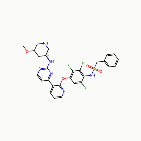 COC1CNC[C@@H](Nc2nccc(-c3cccnc3Oc3cc(F)c(NS(=O)(=O)Cc4ccccc4)c(F)c3F)n2)C1